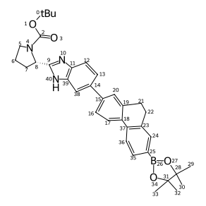 CC(C)(C)OC(=O)N1CCC[C@H]1c1nc2ccc(-c3ccc4c(c3)CCc3cc(B5OC(C)(C)C(C)(C)O5)ccc3-4)cc2[nH]1